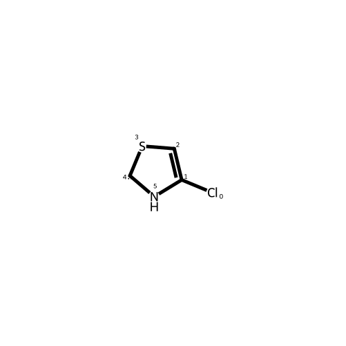 ClC1=CS[C]N1